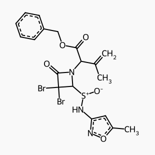 C=C(C)C(C(=O)OCc1ccccc1)N1C(=O)C(Br)(Br)C1[S+]([O-])Nc1cc(C)on1